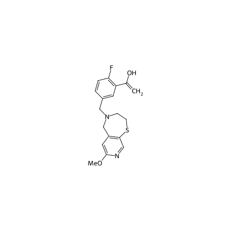 C=C(O)c1cc(CN2CCSc3cnc(OC)cc3C2)ccc1F